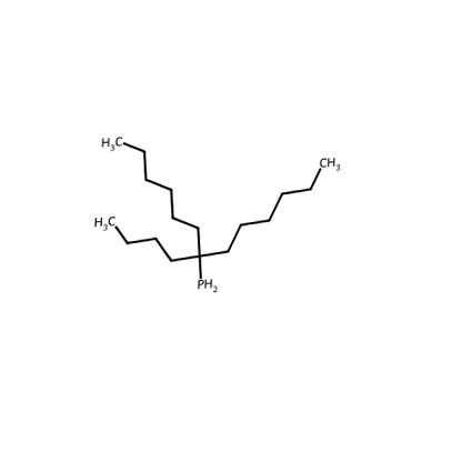 CCCCCCC(P)(CCCC)CCCCCC